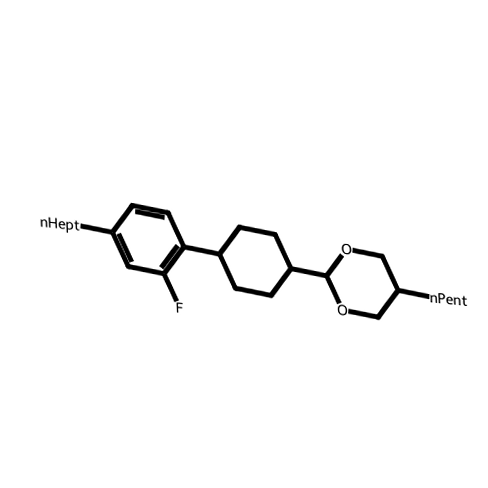 CCCCCCCc1ccc(C2CCC(C3OCC(CCCCC)CO3)CC2)c(F)c1